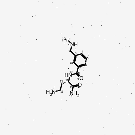 CC(C)NCc1cccc(C(=O)N[C@@H](CCN)C(N)=O)c1